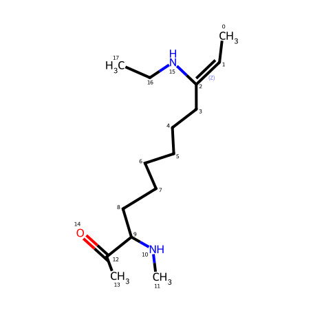 C/C=C(/CCCCCCC(NC)C(C)=O)NCC